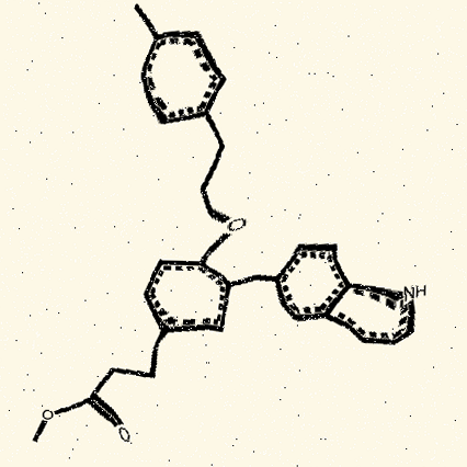 COC(=O)CCc1ccc(OCCc2ccc(C)cc2)c(-c2ccc3[nH]ccc3c2)c1